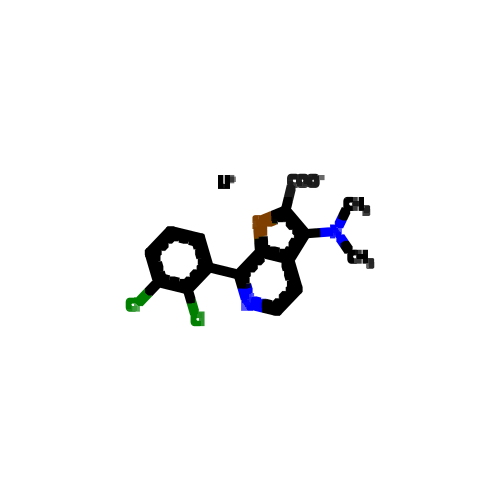 CN(C)c1c(C(=O)[O-])sc2c(-c3cccc(Cl)c3Cl)nccc12.[Li+]